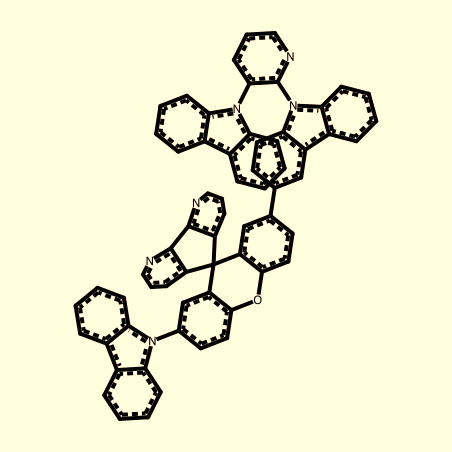 c1cnc(-n2c3ccccc3c3cc(-c4ccc5c(c4)C4(c6cc(-n7c8ccccc8c8ccccc87)ccc6O5)c5cccnc5-c5ncccc54)ccc32)c(-n2c3ccccc3c3ccccc32)c1